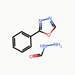 NNC=O.c1ccc(-c2nnco2)cc1